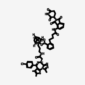 Cc1sc2c(c1C)C(c1ccc(Cl)cc1)=N[C@@H](CC(=O)NCCC[C@]13OB(c4ccccc4CCCC(=O)Nc4cccc5c4C(=O)N(C4CCC(=O)NC4=O)C5=O)O[C@H]1C[C@H]1C[C@@H]3C1(C)C)c1nnc(C)n1-2